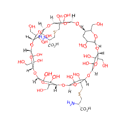 N[C@H](CSCC1O[C@@H]2O[C@H]3CC(O)[C@@H](OC3CO)O[C@@H]3C(CO)O[C@@H](O[C@@H]4C(CSC[C@@H](N)C(=O)O)O[C@@H](O[C@@H]5C(CO)O[C@H](O[C@@H]6C(CO)O[C@H](O[C@@H]7C(CO)O[C@@H](O[C@H]1C(O)C2O)C(O)C7O)C(O)C6O)C(O)C5O)C(O)C4O)C(O)C3O)C(=O)O